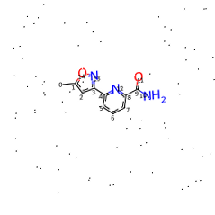 Cc1cc(-c2cccc(C(N)=O)n2)no1